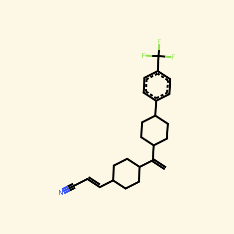 C=C(C1CCC(C=CC#N)CC1)C1CCC(c2ccc(C(F)(F)F)cc2)CC1